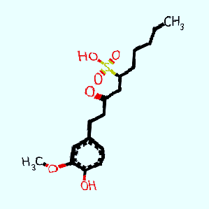 CCCCCC(CC(=O)CCc1ccc(O)c(OC)c1)S(=O)(=O)O